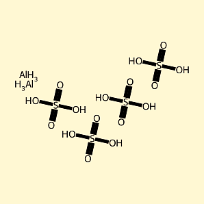 O=S(=O)(O)O.O=S(=O)(O)O.O=S(=O)(O)O.O=S(=O)(O)O.[AlH3].[AlH3]